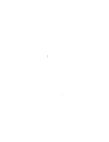 OCC1OC(Oc2cccc3cccnc23)C(O)C(O)C1O